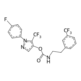 O=C(NCCc1cccc(C(F)(F)F)c1)Oc1cnn(-c2ccc(F)cc2)c1C(F)(F)F